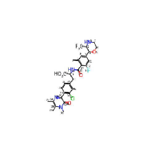 Cc1cc(C2OCCNC2C(F)(F)F)cc(F)c1C(=O)NC(Cc1ccc(-c2nc(C)c(C)n(C)c2=O)c(Cl)c1)C(=O)O